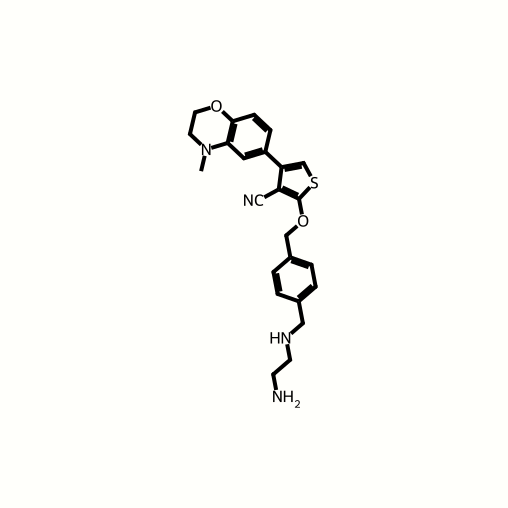 CN1CCOc2ccc(-c3csc(OCc4ccc(CNCCN)cc4)c3C#N)cc21